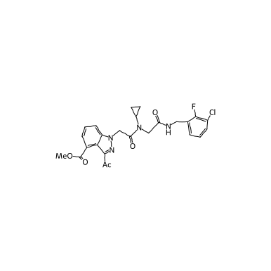 COC(=O)c1cccc2c1c(C(C)=O)nn2CC(=O)N(CC(=O)NCc1cccc(Cl)c1F)C1CC1